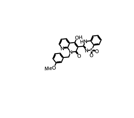 COc1cccc(Cn2c(=O)c(C3=NS(=O)(=O)c4ccccc4N3)c(O)c3cccnc32)c1